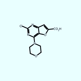 O=C(O)c1cc2nc(Cl)nc(N3CCOCC3)c2o1